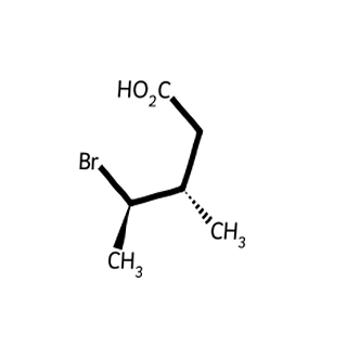 C[C@@H](Br)[C@@H](C)CC(=O)O